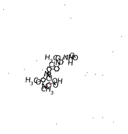 COc1cc(Cn2ncc3c(-c4cccc(-c5ccc(CNC[C@@H]6CCC(=O)N6)c(OC)n5)c4Cl)cccc32)c(Cl)cc1CN(C)C12CCC(C(=O)O)(CC1)CC2